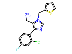 NCc1c(-c2ccc(F)cc2Cl)ncn1Cc1cccs1